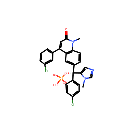 Cn1cncc1[C@@](O[PH](O)(O)O)(c1ccc(Cl)cc1)c1ccc2c(c1)c(-c1cccc(Cl)c1)cc(=O)n2C